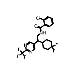 O=C(NCC(c1cnc(C(F)(F)F)nc1)C1CCC(F)(F)CC1)c1ccccc1Cl